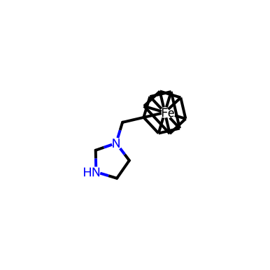 C1CN(C[C]23[CH]4[CH]5[CH]6[CH]2[Fe]56432789[CH]3[CH]2[CH]7[CH]8[CH]39)CN1